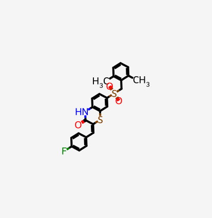 Cc1cccc(C)c1CS(=O)(=O)c1ccc2c(c1)S/C(=C/c1ccc(F)cc1)C(=O)N2